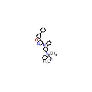 C/C=C\c1c2c(n(-c3ccc4c(c3)c3ccccc3n4-c3cnc4oc5ccc(-c6ccccc6)cc5c4c3)c1C)CCC=C2